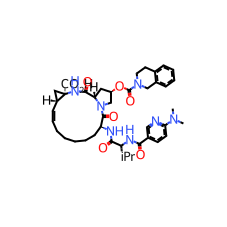 CC(C)C(NC(=O)c1ccc(N(C)C)nc1)C(=O)N[C@H]1CCCCC/C=C\[C@@H]2C[C@@]2(C(=O)O)NC(=O)[C@@H]2C[C@@H](OC(=O)N3CCc4ccccc4C3)CN2C1=O